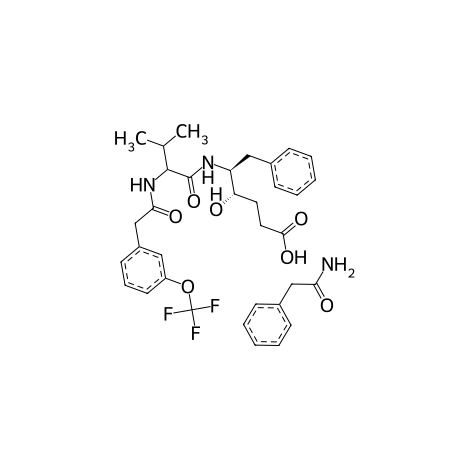 CC(C)C(NC(=O)Cc1cccc(OC(F)(F)F)c1)C(=O)N[C@@H](Cc1ccccc1)[C@@H](O)CCC(=O)O.NC(=O)Cc1ccccc1